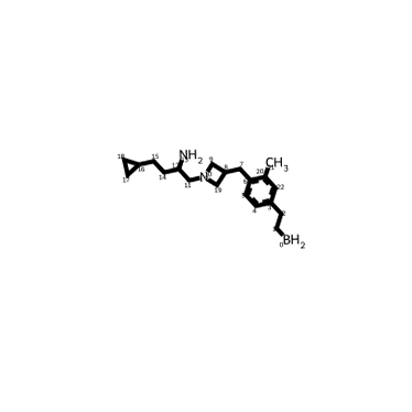 BCCc1ccc(CC2CN(CC(N)CCC3CC3)C2)c(C)c1